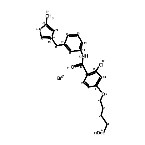 CCCCCCCCCCCCCCOc1ccc(C(=O)Nc2cccc(C[n+]3csc(C)c3)c2)c(Cl)c1.[Br-]